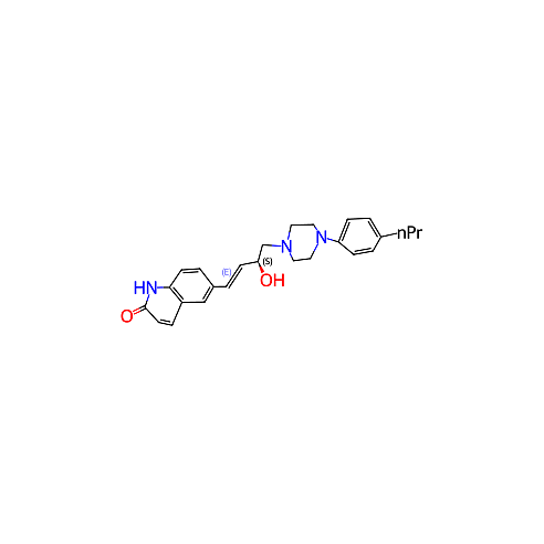 CCCc1ccc(N2CCN(C[C@@H](O)/C=C/c3ccc4[nH]c(=O)ccc4c3)CC2)cc1